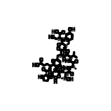 CC(C)[C@H](NC(=O)[C@H](C)NC(=O)[C@@H](NC(=O)[C@H](CC(=O)O)NC(=O)[C@H](CCC(=O)O)NC(=O)[C@@H]1CCCN1)[C@@H](C)O)C(=O)N[C@@H](Cc1ccc(O)cc1)C(=O)N[C@@H](Cc1ccc(O)cc1)C(=O)N[C@@H](CS)C(=O)O